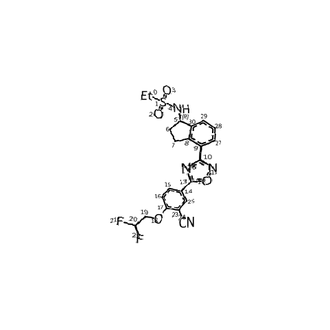 CCS(=O)(=O)N[C@@H]1CCc2c(-c3noc(-c4ccc(OCC(F)F)c(C#N)c4)n3)cccc21